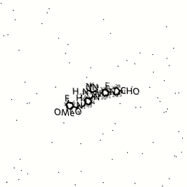 COc1ccc(F)cc1C(=O)NCc1ccc(-c2nn(-c3ccc(N4CCC(C=O)CC4)c(F)c3)c3ncnc(N)c23)cc1